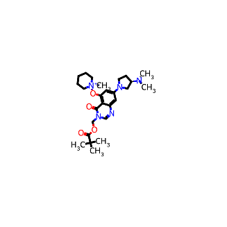 CN(C)[C@@H]1CCN(c2cc(O[N+]3(C)CCCCC3)c3c(=O)n(COC(=O)C(C)(C)C)cnc3c2)C1